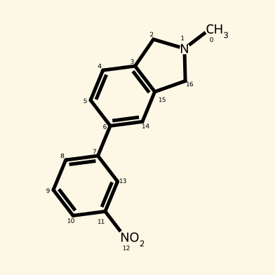 CN1Cc2ccc(-c3cccc([N+](=O)[O-])c3)cc2C1